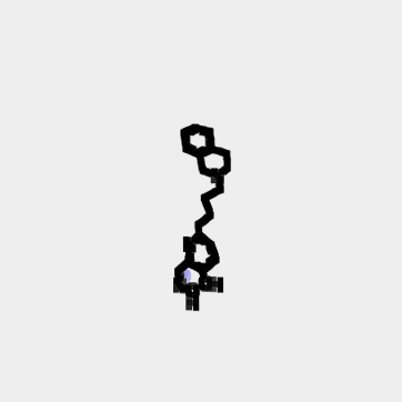 O/N=C\c1nc(CCCCN2CCc3ccccc3C2)ccc1O